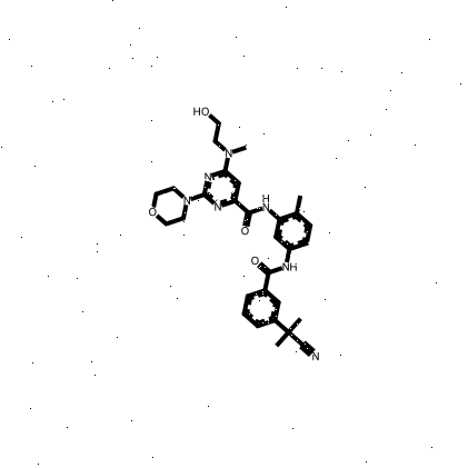 Cc1ccc(NC(=O)c2cccc(C(C)(C)C#N)c2)cc1NC(=O)c1cc(N(C)CCO)nc(N2CCOCC2)n1